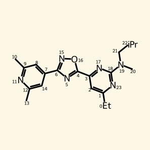 CCc1cc(-c2nc(-c3cc(C)nc(C)c3)no2)nc(N(C)CC(C)C)n1